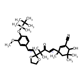 COc1cc(/C=C/C2(C(C)(C)C(=O)/C=C/C3(C)C=C(C#N)C(O)C(C)(C)C3)OCCO2)ccc1O[Si](C)(C)C(C)(C)C